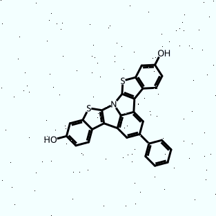 Oc1ccc2c(c1)sc1c2c2cc(-c3ccccc3)cc3c4c5ccc(O)cc5sc4n1c23